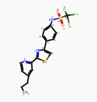 CCCc1ccnc(-c2nc(-c3ccc(NS(=O)(=O)C(F)(F)F)cc3)cs2)c1